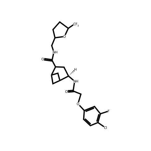 O=C(COc1ccc(Cl)c(F)c1)N[C@@H]1CC(C(=O)NCC2CCC(C(F)(F)F)O2)C2CC1C2